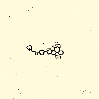 C[Si](C)(C)C1=C(F)c2c3c(cc(O)c2=c2ccccc2=C1F)=CC(c1ccc(OCCN2CCCCC2)cc1)OC3